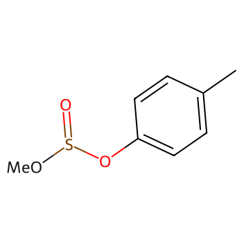 COS(=O)Oc1ccc(C)cc1